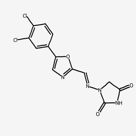 O=C1CN(N=Cc2ncc(-c3ccc(Cl)c(Cl)c3)o2)C(=O)N1